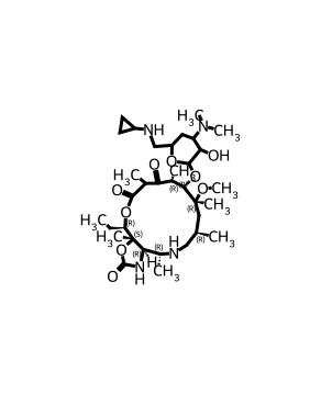 CC[C@H]1OC(=O)C(C)C(=O)[C@H](C)[C@@H](OC2OC(CNC3CC3)CC(N(C)C)C2O)[C@](C)(OC)C[C@@H](C)CN[C@H](C)[C@H]2NC(=O)O[C@@]21C